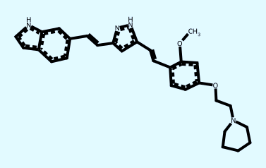 COc1cc(OCCN2CCCCC2)ccc1C=Cc1cc(C=Cc2ccc3cc[nH]c3c2)n[nH]1